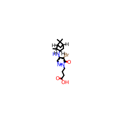 C[C@@H]1[C@H]2C[C@@H](C[C@H]1Nc1cnn(CCCC(=O)O)c(=O)c1Br)C2(C)C